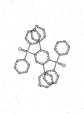 O=P(c1ccccc1)(c1ccccc1)c1cc(-c2cccnc2)c(P(=O)(c2ccccc2)c2ccccc2)cc1-c1ccncc1